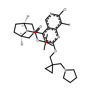 CC(C)(C)OC(=O)N1[C@@H]2CC[C@H]1CN(c1nc(OCC3(CN4CCCC4)CC3)nc3c(F)c(Cl)ncc13)C2